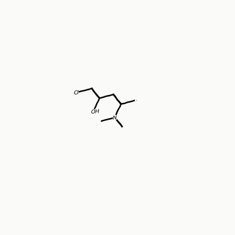 [CH2]C(CC(O)CCl)N(C)C